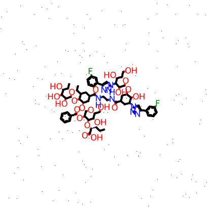 CCC[C@H](OC1C(OC(=O)c2ccccc2)[C@H](O[C@@H]2CC(C(=O)NCCNC(=O)C3CC(n4cc(-c5cccc(F)c5)nn4)C(O)[C@H](O[C@@H]4OC(CO)[C@H](O)C(n5cc(-c6cccc(F)c6)nn5)C4O)C3)CC(CC)C2O[C@@H]2OC(C)[C@@H](O)C(O)C2O)OC(CO)[C@@H]1O)C(=O)O